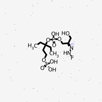 CCC(CC)(CCOP(=O)(O)O)OP(=O)(O)OC/C(CO)=N\NF